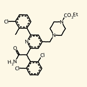 CCOC(=O)N1CCN(Cc2cc(-c3cccc(Cl)c3C)nc(C(C(N)=O)c3c(Cl)cccc3Cl)c2)CC1